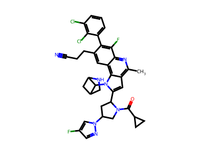 Cc1nc2c(F)c(-c3cccc(Cl)c3Cl)c(CCC#N)cc2c2c1cc(C1CC(n3cc(F)cn3)CN1C(=O)C1CC1)n2C1C2CNC1C2